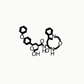 O=C(O)C[C@@H](CCc1ccc(Oc2ccccc2)cc1)C(=O)N[C@H]1Cc2cn(c3ccccc23)CCOCCNC1=O